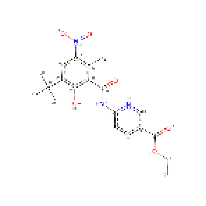 CCOC(=O)c1ccc(NC(=O)c2c(C)c([N+](=O)[O-])cc(C(C)(C)C)c2O)nc1